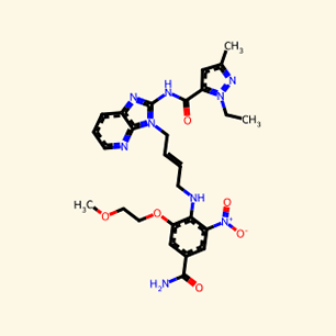 CCn1nc(C)cc1C(=O)Nc1nc2cccnc2n1C/C=C/CNc1c(OCCOC)cc(C(N)=O)cc1[N+](=O)[O-]